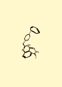 O=c1[nH]nc2c3c(cccc13)N=C(CN1CCC(c3ccccc3)CC1)N2